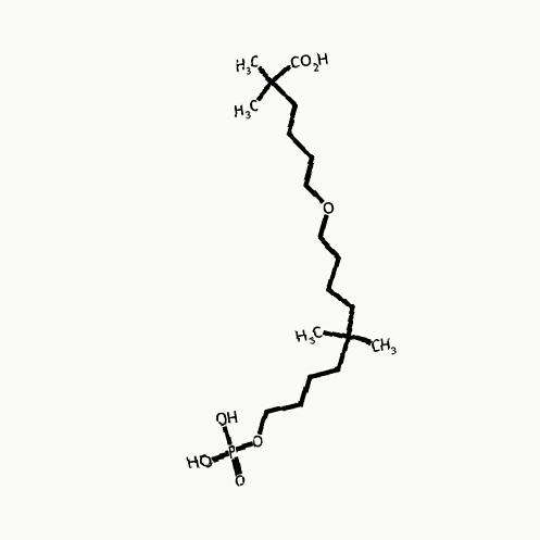 CC(C)(CCCCOCCCCC(C)(C)C(=O)O)CCCCOP(=O)(O)O